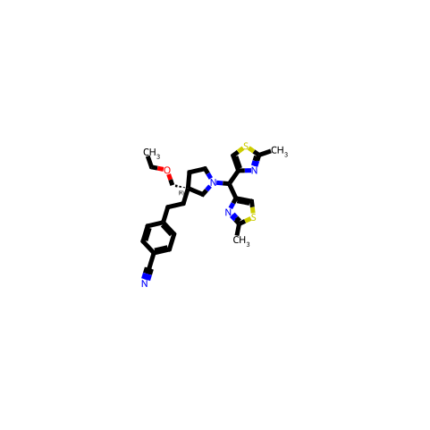 CCOC[C@]1(CCc2ccc(C#N)cc2)CCN(C(c2csc(C)n2)c2csc(C)n2)C1